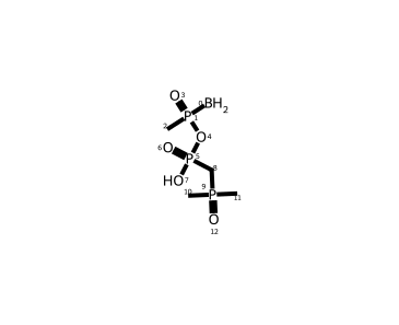 BP(C)(=O)OP(=O)(O)CP(C)(C)=O